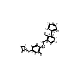 Cc1cc(CN2CCC2)ccc1OCc1cccc(-c2ccccc2)c1C